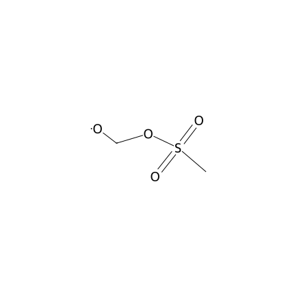 CS(=O)(=O)OC[O]